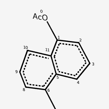 CC(=O)Oc1cccc2c(C)cccc12